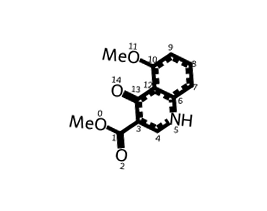 COC(=O)c1c[nH]c2cccc(OC)c2c1=O